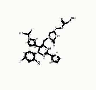 CC(C)(C)OC(=O)NC[C@H]1CN(CC2=C(c3ccn(C(F)F)n3)[C@H](c3ccc(F)cc3Cl)N=C(c3nccs3)N2)C(=O)O1